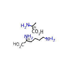 C[C@H](N)C(=O)O.NCCCC[C@H](N)C(=O)O